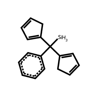 [SiH3]C(C1=CC=CC1)(C1=CC=CC1)c1ccccc1